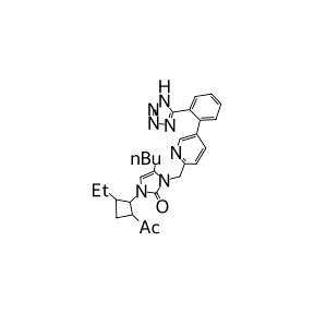 CCCCc1cn(C2C(CC)CC2C(C)=O)c(=O)n1Cc1ccc(-c2ccccc2-c2nnn[nH]2)cn1